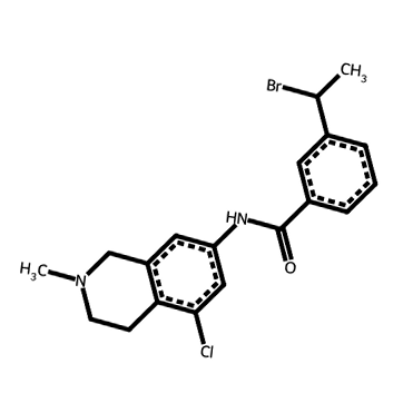 CC(Br)c1cccc(C(=O)Nc2cc(Cl)c3c(c2)CN(C)CC3)c1